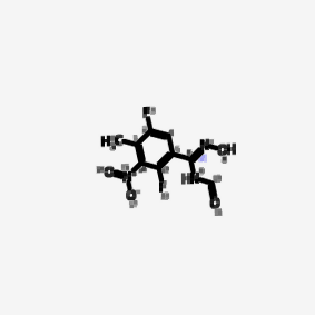 Cc1c(F)cc(/C(=N/O)NC=O)c(F)c1[N+](=O)[O-]